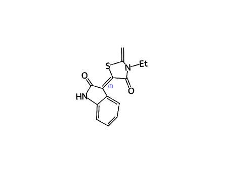 C=c1s/c(=C2\C(=O)Nc3ccccc32)c(=O)n1CC